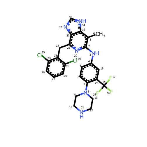 Cc1c(Nc2ccc(N3CCNCC3)c(C(F)(F)F)c2)nc(Cc2c(Cl)cccc2Cl)c2nc[nH]c12